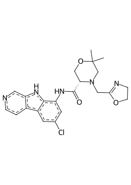 CC1(C)CN(CC2=NCCO2)[C@H](C(=O)Nc2cc(Cl)cc3c2[nH]c2cnccc23)CO1